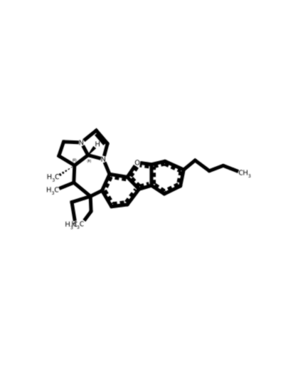 CCCCc1ccc2c(c1)oc1c3c(ccc12)C(CC)(CC)C(C)[C@@]1(C)CCN2C=CN3[C@@H]21